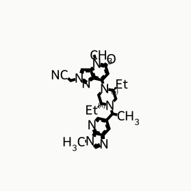 CC[C@H]1CN(C(C)c2cnc3c(c2)ncn3C)[C@H](CC)CN1c1cc(=O)n(C)c2cn(CC#N)nc12